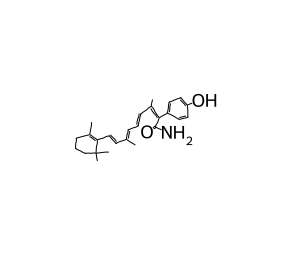 CC(C=CC1=C(C)CCCC1(C)C)=CC=CC(C)=C(C(N)=O)c1ccc(O)cc1